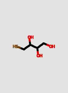 OCC(O)C(O)CS